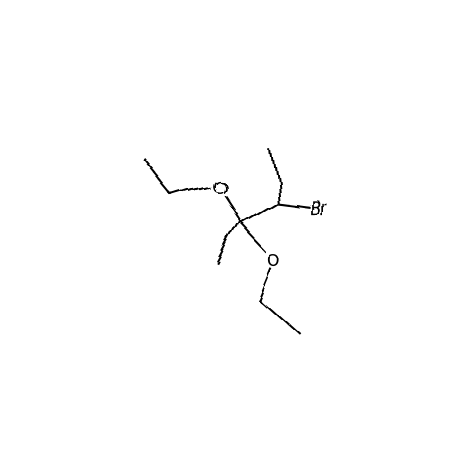 CCOC(C)(OCC)C(C)Br